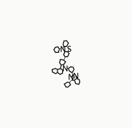 c1ccc(-c2nc(-c3cccc(-n4c5cc(-c6ccc7c(c6)N(c6ccccc6)c6ccccc6S7)ccc5c5c6ccccc6ccc54)c3)nc3ccccc23)cc1